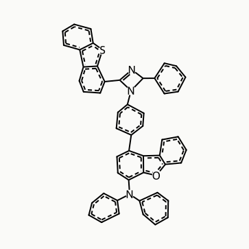 c1ccc(C2N=C(c3cccc4c3sc3ccccc34)N2c2ccc(-c3ccc(N(c4ccccc4)c4ccccc4)c4oc5ccccc5c34)cc2)cc1